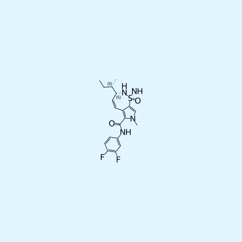 CC[C@H](C)[C@H]1C=Cc2c(cn(C)c2C(=O)Nc2ccc(F)c(F)c2)S(=N)(=O)N1